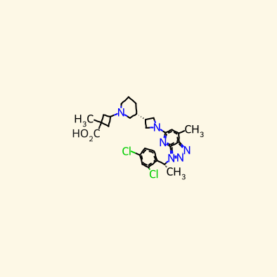 Cc1cc(N2CC([C@H]3CCCN(C4CC(C)(C(=O)O)C4)C3)C2)nc2c1nnn2[C@H](C)c1ccc(Cl)cc1Cl